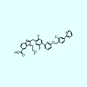 COCCn1c(Cc2cc(F)c(-c3cccc(OCc4ccc(-c5ccccn5)cc4F)n3)cc2F)nc2ccc(C(=O)O)cc21